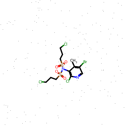 Cc1c(Br)cnc(Cl)c1N(S(=O)(=O)CCCCl)S(=O)(=O)CCCCl